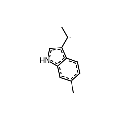 C[CH]c1c[nH]c2cc(C)ccc12